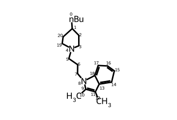 CCCCC1CCN(CCCn2c(C)c(C)c3ccccc32)CC1